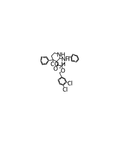 CC(OCc1ccc(Cl)c(Cl)c1)C(=O)C1C(NCc2ccccc2)NCCC1(C(=O)O)c1ccccc1